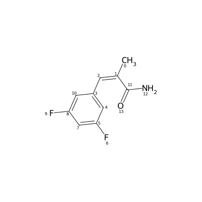 CC(=Cc1cc(F)cc(F)c1)C(N)=O